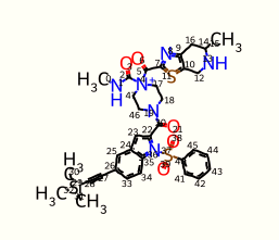 CNC(=O)[N+]1(C(=O)c2nc3c(s2)CNC(C)C3)CCN(C(=O)c2cc3cc(C#C[Si](C)(C)C)ccc3n2S(=O)(=O)c2ccccc2)CC1